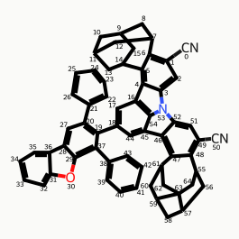 N#Cc1cc2c(c3c1C1CC4CC(C1)CC3C4)c1cc(-c3c(-c4ccccc4)cc4c(oc5ccccc54)c3-c3ccccc3)cc3c4c5c(c(C#N)cc4n2c13)C1CC2CC3CC5CC23C1